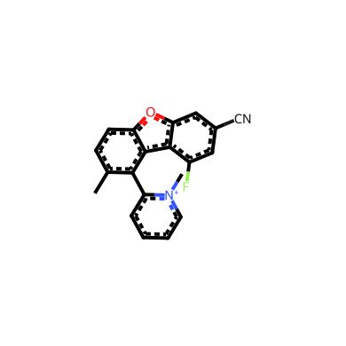 Cc1ccc2oc3cc(C#N)cc(F)c3c2c1-c1cccc[n+]1C